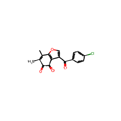 BC1=C(C)c2occ(C(=O)c3ccc(Cl)cc3)c2C(=O)C1=O